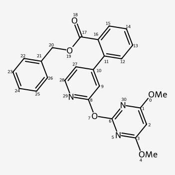 COc1cc(OC)nc(Oc2cc(-c3ccccc3C(=O)OCc3ccccc3)ccn2)n1